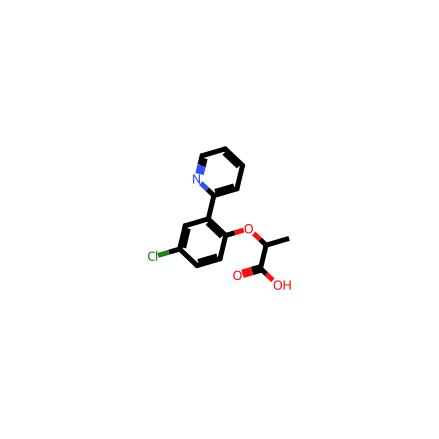 CC(Oc1ccc(Cl)cc1-c1ccccn1)C(=O)O